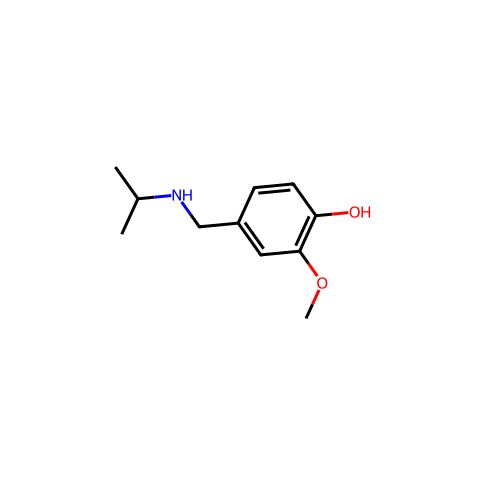 COc1cc(CNC(C)C)ccc1O